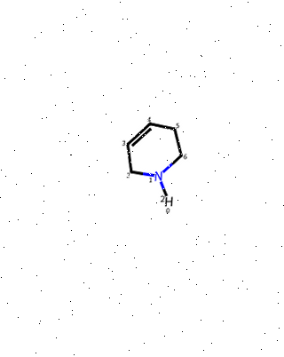 [2H]N1CC=CCC1